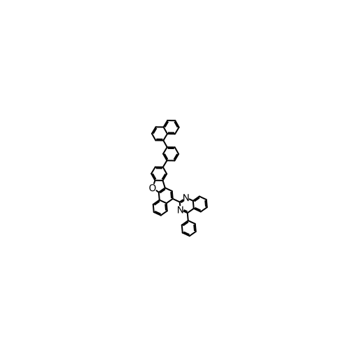 c1ccc(-c2nc(-c3cc4c5cc(-c6cccc(-c7cccc8ccccc78)c6)ccc5oc4c4ccccc34)nc3ccccc23)cc1